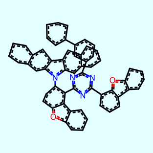 c1ccc(-c2cccc(-c3nc(-c4cccc5c4oc4ccccc45)nc(-c4c(-n5c6cc7ccccc7cc6c6cc7ccccc7cc65)ccc5oc6ccccc6c45)n3)c2)cc1